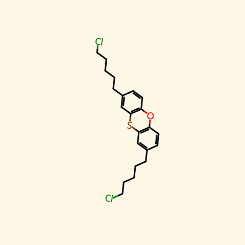 ClCCCCCc1ccc2c(c1)Sc1cc(CCCCCCl)ccc1O2